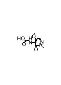 COc1cnn(C)c(=O)c1NCC(=O)O